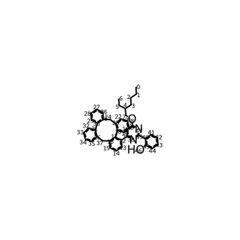 CCCCC(CC)COc1cc(-c2cccc3c2-c2ccccc2Cc2ccccc2-c2ccccc2C3)nc(-c2ccccc2O)n1